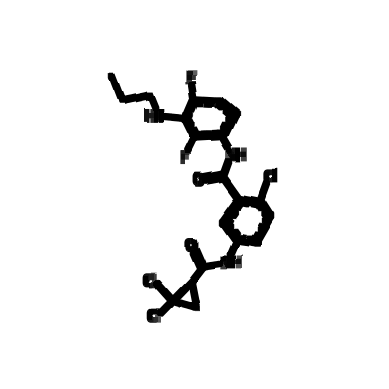 CCCNc1c(F)ccc(NC(=O)c2cc(NC(=O)C3CC3(Cl)Cl)ccc2Cl)c1F